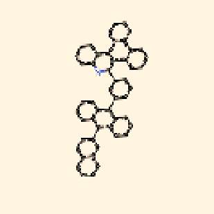 c1cc(-c2c3ccccc3c(-c3ccc4ccccc4c3)c3ccccc23)cc(-c2nc3ccccc3c3c4ccccc4c4ccccc4c23)c1